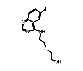 OCCOCCNc1ncnc2ccc(I)cc12